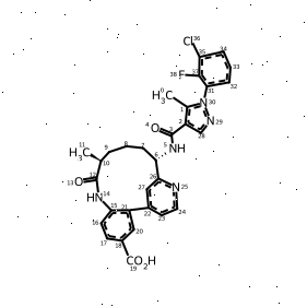 Cc1c(C(=O)N[C@H]2CCC[C@H](C)C(=O)Nc3ccc(C(=O)O)cc3-c3ccnc2c3)cnn1-c1cccc(Cl)c1F